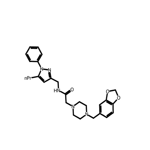 CCCc1cc(CNC(=O)CN2CCN(Cc3ccc4c(c3)OCO4)CC2)nn1-c1ccccc1